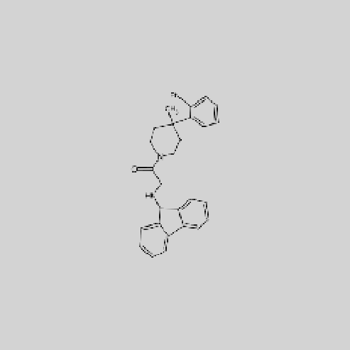 CCc1ccccc1C1(C)CCN(C(=O)CNC2c3ccccc3-c3ccccc32)CC1